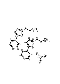 CCC[n+]1ccc(-c2ccccc2)o1.CCC[n+]1ccc(-c2ccccc2)o1.[O-]B([O-])F